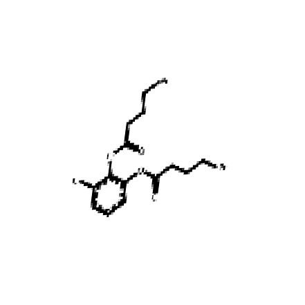 CC(C)CCCC(=O)Oc1cccc(Cl)c1OC(=O)CCCC(C)C